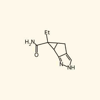 CCC1(C(N)=O)C2Cc3c[nH]nc3C21